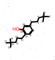 CC(C)(C)CCCc1ccc(CCCC(C)(C)C)c(O)c1